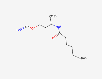 CCCCCCCCCCCCCC(=O)NC(CCOC=N)C(=O)O